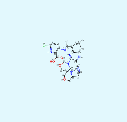 Cc1cc([C@@H](C)Nc2ccc(Cl)nc2C(=O)O)c2nc(N3COCC4(COCC5CCCN54)C3)c(C#N)nc2c1